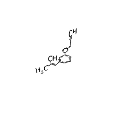 C#CCOc1cccc(C=C(C)C)c1